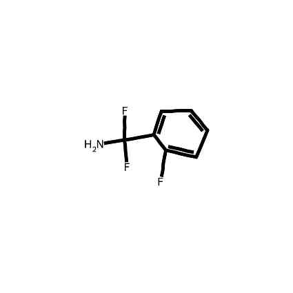 NC(F)(F)c1ccccc1F